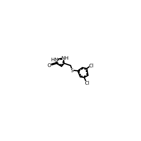 O=c1cc(CSc2cc(Cl)cc(Cl)c2)[nH][nH]1